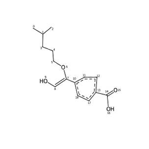 CC(C)CCCO/C(=C\O)c1ccc(C(=O)O)cc1